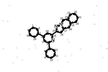 c1ccc(-c2cc(-c3ccccc3)nc(-c3cc4cc5ccccc5cn4n3)c2)cc1